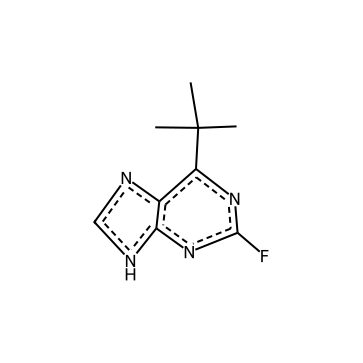 CC(C)(C)c1nc(F)nc2[nH]cnc12